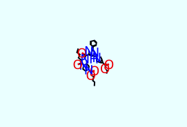 CCCCOC(=O)N1CCN(C(=O)C(CCCC)NC(=O)c2cc(N3CC4C(C3)C4C(=O)OCC)nc(-c3ccccc3)n2)CC1